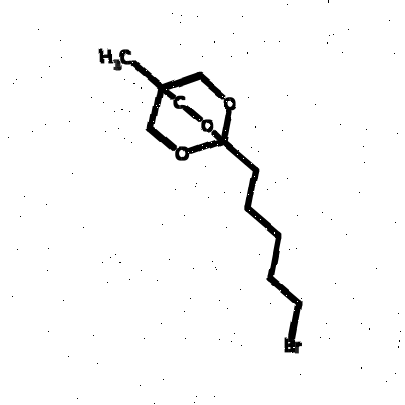 CC12COC(CCCCCBr)(OC1)OC2